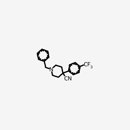 N#CC1(c2ccc(C(F)(F)F)cc2)CCN(Cc2ccccc2)CC1